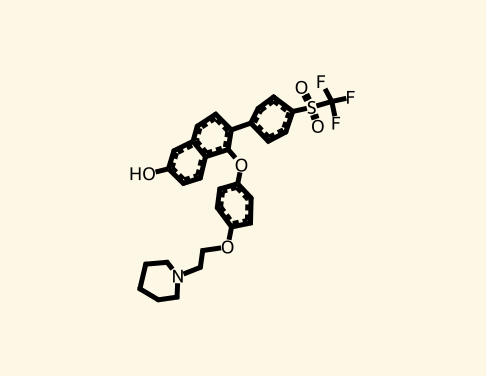 O=S(=O)(c1ccc(-c2ccc3cc(O)ccc3c2Oc2ccc(OCCN3CCCCC3)cc2)cc1)C(F)(F)F